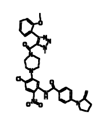 C=C1CCCN1c1ccc(C(=O)Nc2cc(N3CCN(C(=O)c4c(-c5ccccc5OC)nnn4C)CC3)c(Cl)cc2[N+](=O)[O-])cc1